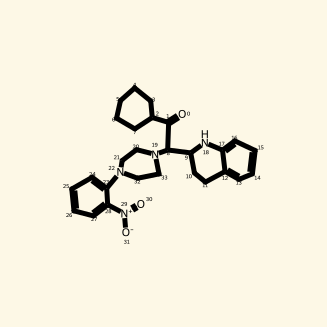 O=C(C1CCCCC1)C(C1CCc2ccccc2N1)N1CCN(c2ccccc2[N+](=O)[O-])CC1